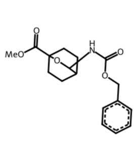 COC(=O)C12CCC(CC1)C(NC(=O)OCc1ccccc1)O2